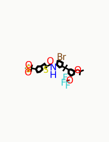 CC(C)Oc1cc(OC(F)(F)F)cc(C(C)(C)c2cc(Br)cc(NC(=O)c3cc4cc(C(C)(C)S(C)(=O)=O)ccc4s3)c2)c1